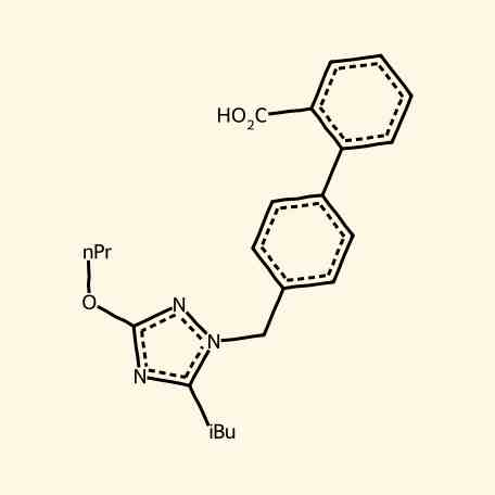 CCCOc1nc(C(C)CC)n(Cc2ccc(-c3ccccc3C(=O)O)cc2)n1